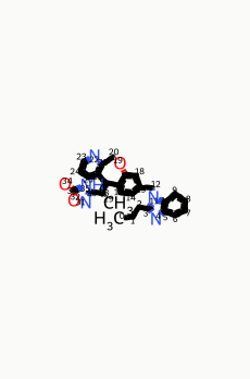 CCCc1nc2ccccc2n1Cc1ccc2c(c1)OCc1ncccc1/C2=C(/C)c1noc(=O)[nH]1